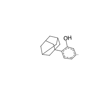 Oc1c[c]ccc1C12CC3CC(CC(C3)C1)C2